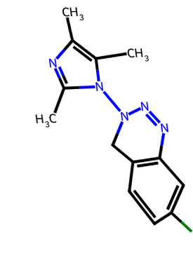 Cc1nc(C)n(N2Cc3ccc(Cl)cc3N=N2)c1C